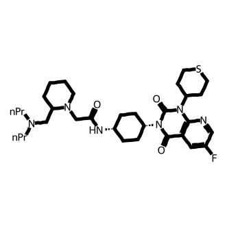 CCCN(CCC)CC1CCCCN1CC(=O)N[C@H]1CC[C@@H](n2c(=O)c3cc(F)cnc3n(C3CCSCC3)c2=O)CC1